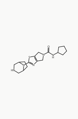 O=C(NC1CCCC1)N1Cc2nc(N3C4CCC3CNC4)sc2C1